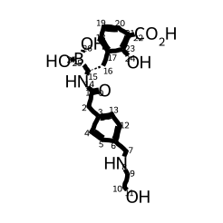 O=C(Cc1ccc(CNCCO)cc1)N[C@@H](Cc1cccc(C(=O)O)c1O)B(O)O